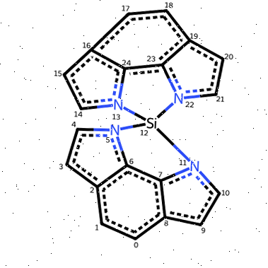 c1cc2ccn3c2c2c1ccn2[Si]31n2ccc3ccc4ccn1c4c32